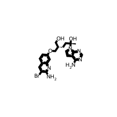 C[C@](O)(CC[C@@H](CO)COc1ccc2cc(Br)c(N)nc2c1)n1ccc2c(N)ncnc21